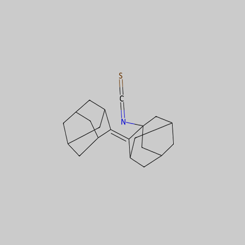 S=C=NC12CC3CC(CC(C3)C1=C1C3CC4CC(C3)CC1C4)C2